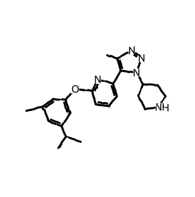 Cc1cc(Oc2cccc(-c3c(C)nnn3C3CCNCC3)n2)cc(C(C)C)c1